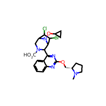 CN1CCC[C@H]1COc1nc(C2C3C(Br)C(Cl)C(CN2C(=O)O)N3OC2CC2)c2ccccc2n1